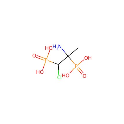 CC(N)(C(Cl)P(=O)(O)O)P(=O)(O)O